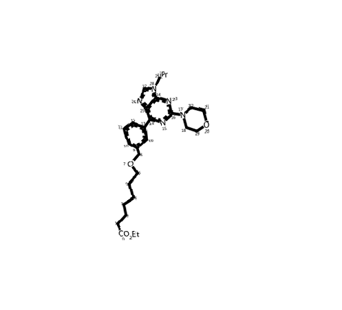 CCOC(=O)CCCCCCOCc1cccc(-c2nc(N3CCOCC3)nc3c2ncn3C(C)C)c1